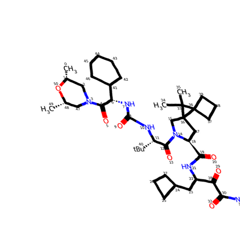 C[C@@H]1CN(C(=O)[C@@H](NC(=O)N[C@H](C(=O)N2CC3(C[C@H]2C(=O)NC(CC2CCC2)C(=O)C(N)=O)C(C)(C)C32CCC2)C(C)(C)C)C2CCCCC2)C[C@H](C)O1